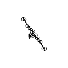 C=CC(=O)OCCCCCCOc1ccc2c(c1)C(C)c1cc(C(=O)Oc3ccc(OC(=O)c4ccc5c(c4)C(C)c4cc(OCCCCCCOC(=O)C=C)ccc4-5)c4c3OC(F)(F)O4)ccc1-2